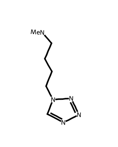 CNCCCCn1cnnn1